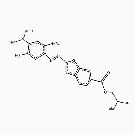 CCCCCCN(CCCCCC)c1cc(NC(C)=O)c(/N=N/c2nc3ccc(C(=O)OCC(CC)CCCC)cc3s2)cc1C